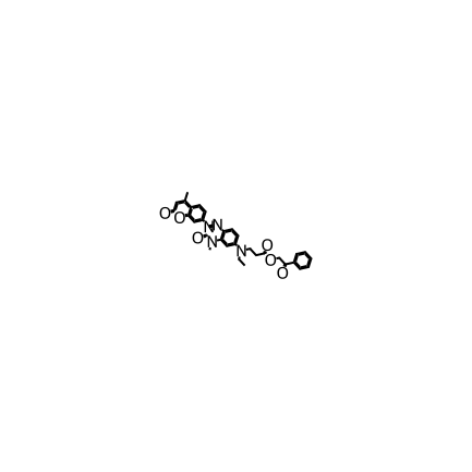 CCN(CCC(=O)OCC(=O)c1ccccc1)c1ccc(/N=N/c2ccc3c(C)cc(=O)oc3c2)c(N(C)C=O)c1